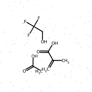 C=C(C)C(=O)O.CC(=O)O.OCC(F)(F)F